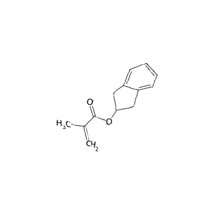 C=C(C)C(=O)OC1Cc2ccccc2C1